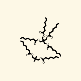 CCCCCCC(=O)OCC(COC(=O)CCCCCC)(COC(=O)CCCCCC)COC(=O)CCCCCC.[CH2]C([CH2])(COC(=O)CCCCCC)COC(=O)CCCCCC